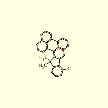 CC1(C)c2cccc(Cl)c2-c2cccc(-c3cccc4cccc(-c5ccccc5)c34)c21